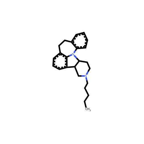 CCCCCN1CCC2C(C1)c1cccc3c1N2c1ccccc1CC3